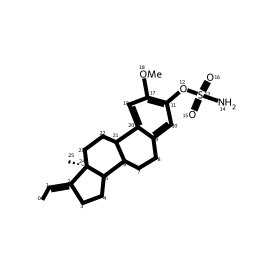 CC=C1CCC2C3CCc4cc(OS(N)(=O)=O)c(OC)cc4C3CC[C@]12C